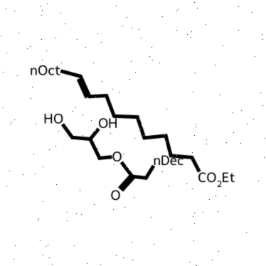 CCCCCCCCC=CCCCCCCCC(=O)OCC.CCCCCCCCCCCC(=O)OCC(O)CO